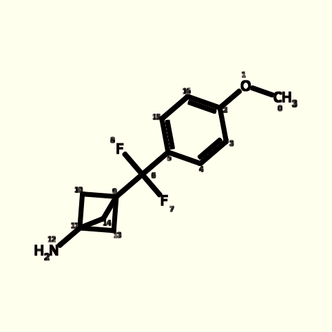 COc1ccc(C(F)(F)C23CC(N)(C2)C3)cc1